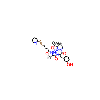 COC(=O)C1CCCN(C(=O)C(Cc2cccc(O)c2)NC(=O)C(NC(=O)CCCSSc2ccccn2)C(C)C)N1